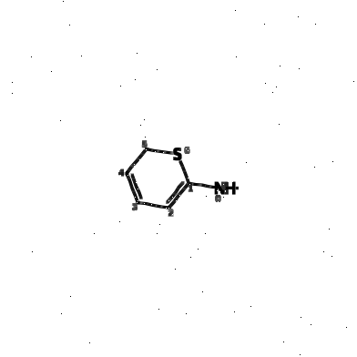 [NH]C1=CC=CCS1